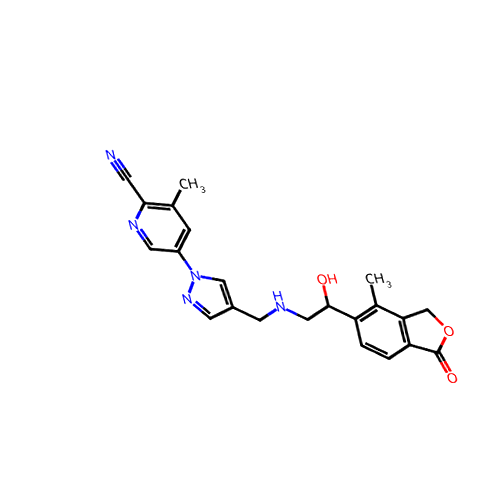 Cc1cc(-n2cc(CNCC(O)c3ccc4c(c3C)COC4=O)cn2)cnc1C#N